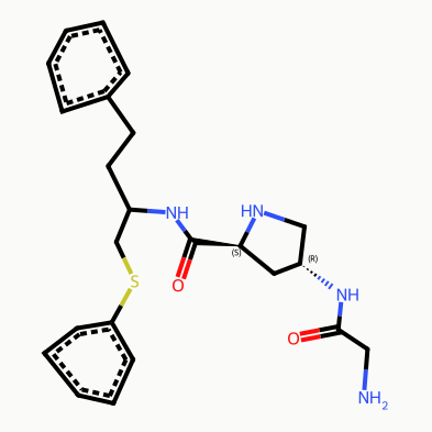 NCC(=O)N[C@H]1CN[C@H](C(=O)NC(CCc2ccccc2)CSc2ccccc2)C1